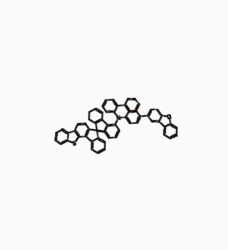 C1=CC2=C(CC1)C1(c3ccccc3-c3c1ccc1c3sc3ccccc31)c1cccc(N(c3ccc(-c4ccc5oc6ccccc6c5c4)cc3)c3ccccc3-c3ccccc3)c12